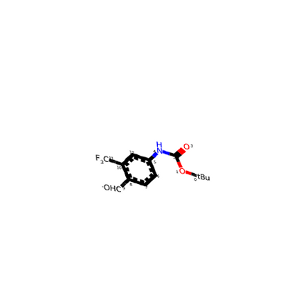 CC(C)(C)OC(=O)Nc1ccc([C]=O)c(C(F)(F)F)c1